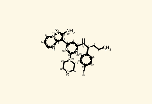 CCC[C@H](Nc1cc(-c2c(N)nn3cccnc23)nc(N2CCOCC2)n1)c1ccc(F)cc1